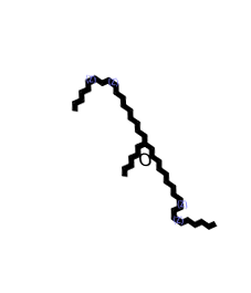 CCCCC/C=C\C/C=C\CCCCCCCCC(CCCCCCCC/C=C\C/C=C\CCCCC)CC(=O)CCCC